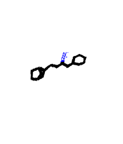 [N-]=[N+]=C(CCC1CC2CCC1C2)CC1CCCCC1